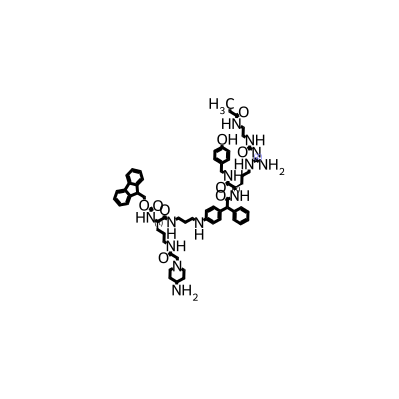 CCC(=O)NCCNC(=O)/N=C(/N)NCCC[C@@H](NC(=O)C(c1ccccc1)c1ccc(NCCCNC(=O)[C@@H](CCCNC(=O)CN2CCC(N)CC2)NC(=O)OCC2c3ccccc3-c3ccccc32)cc1)C(=O)NCc1ccc(O)cc1